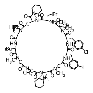 CC[C@H](C)[C@@H]1NC(=O)[C@H](CC(C)C)N(C)C(=O)C[C@@H](C(=O)N2CCCCC2)N(C)C(=O)[C@H](CC(C)C)NC(=O)C(C)(C)N(C)C(=O)[C@H](Cc2ccc(Cl)cc2)NC(=O)[C@H](Cc2cccc(I)c2)NC(=O)CN(C)C(=O)[C@H](CC2CCCCC2)N(C)C(=O)CN(C)C(=O)CN(C)C1=O